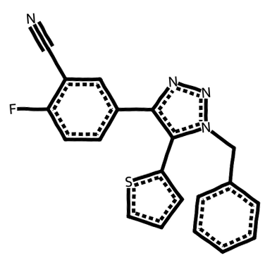 N#Cc1cc(-c2nnn(Cc3ccccc3)c2-c2cccs2)ccc1F